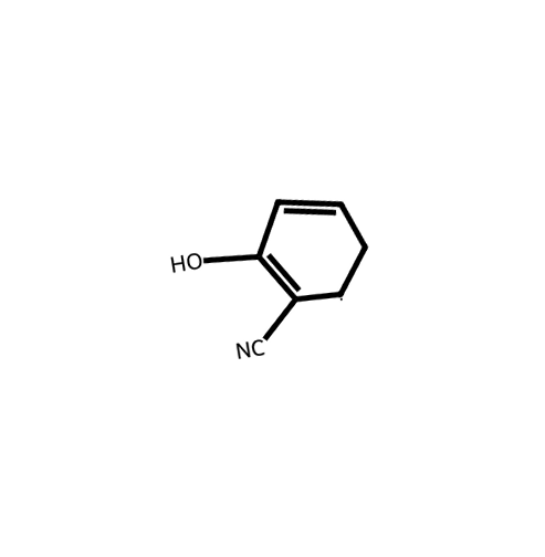 N#CC1=C(O)C=CC[CH]1